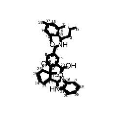 CCCC(NC(=O)c1ccc(C2(C)C(c3nc4ccccc4[nH]3)=CC=C[C@@H]2Cl)c(C(=O)O)c1)c1c(C)cc(C)cc1C